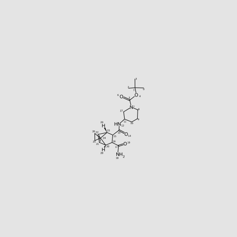 CC(C)(C)OC(=O)N1CCCC(NC(=O)C2C(C(N)=O)[C@@H]3C=C[C@H]2C32CC2)C1